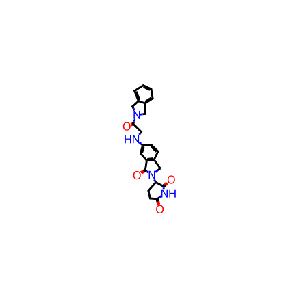 O=C1CCC(N2Cc3ccc(NCC(=O)N4Cc5ccccc5C4)cc3C2=O)C(=O)N1